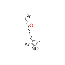 CC(=O)c1c(/C=C/CCCC(=O)CCCC(C)C)cc(C)cc1N=O